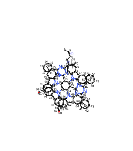 C=C/C(=C\C=C/C)c1nc(-c2ccccc2)nc(-c2c(-n3c4ccc(C)cc4c4cc(C)ccc43)c(-c3nc(-c4ccccc4)nc(-c4ccccc4)n3)c(-n3c4ccc(C)cc4c4cc(C)ccc43)c(-n3c4ccc(C)cc4c4cc(C)ccc43)c2-n2c3ccc(C)cc3c3cc(C)ccc32)n1